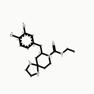 CCOC(=O)N1CCC2(CC1Cc1ccc(Cl)c(Cl)c1)OCCO2